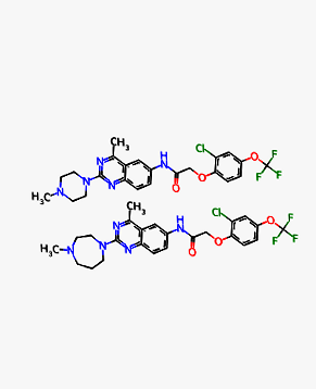 Cc1nc(N2CCCN(C)CC2)nc2ccc(NC(=O)COc3ccc(OC(F)(F)F)cc3Cl)cc12.Cc1nc(N2CCN(C)CC2)nc2ccc(NC(=O)COc3ccc(OC(F)(F)F)cc3Cl)cc12